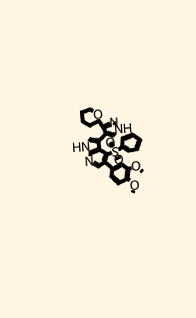 COc1ccc(-c2cnc3[nH]cc(-c4c[nH]nc4C4CCCCO4)c3c2S(=O)(=O)c2ccccc2)cc1OC